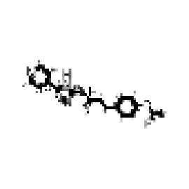 O=C(CCc1ccc(OC(F)F)cc1)Nc1nnc(-c2ccncc2)[nH]1